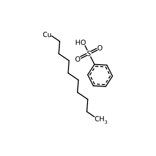 CCCCCCCC[CH2][Cu].O=S(=O)(O)c1ccccc1